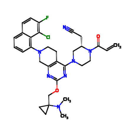 C=CC(=O)N1CCN(c2nc(OCC3(N(C)C)CC3)nc3c2CCN(c2cccc4ccc(F)c(Cl)c24)C3)C[C@@H]1CC#N